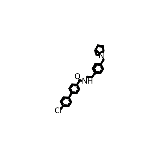 O=C(NCCc1ccc(CN2CC3C=CC2C3)cc1)c1ccc(-c2ccc(Cl)cc2)cc1